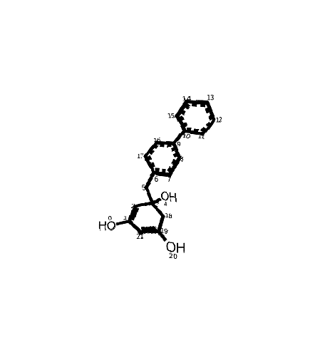 OC1=CC(O)(Cc2ccc(-c3ccccc3)cc2)CC(O)=C1